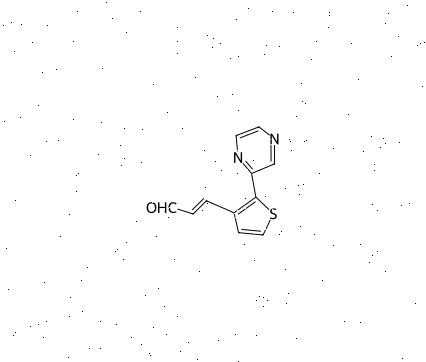 O=CC=Cc1ccsc1-c1cnccn1